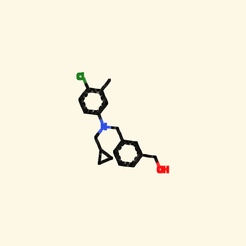 Cc1cc(N(Cc2cccc(CO)c2)CC2CC2)ccc1Cl